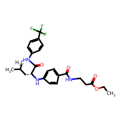 CCOC(=O)CCNC(=O)c1ccc(N[C@H](CC(C)C)C(=O)Nc2ccc(C(F)(F)F)cc2)cc1